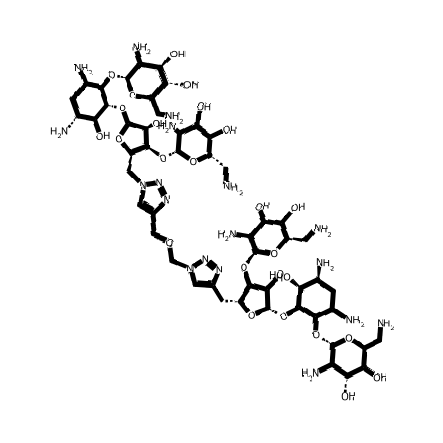 NCC1O[C@@H](OC2C(N)C[C@H](N)[C@H](O)C2O[C@@H]2O[C@H](Cc3cn(COCc4cn(C[C@H]5OC(O[C@H]6C(O[C@H]7OC(CN)[C@@H](O)[C@H](O)C7N)C(N)C[C@@H](N)C6O)[C@@H](O)[C@H]5O[C@H]5O[C@@H](CN)C(O)C(O)C5N)nn4)nn3)C(O[C@@H]3O[C@H](CN)C(O)C(O)C3N)C2O)C(N)[C@@H](O)C1O